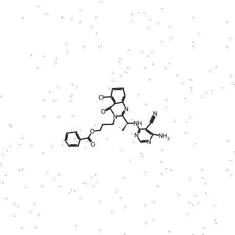 C[C@H](Nc1ncnc(N)c1C#N)c1nc2cccc(Cl)c2c(=O)n1CCCOC(=O)c1ccccc1